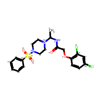 CC(NC(=O)COc1ccc(Cl)cc1Cl)N1CCN(S(=O)(=O)c2ccccc2)CC1